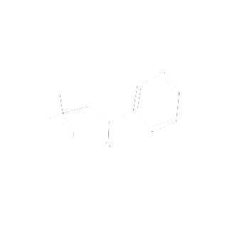 NC(CC(F)(F)F)c1cc[c]cc1